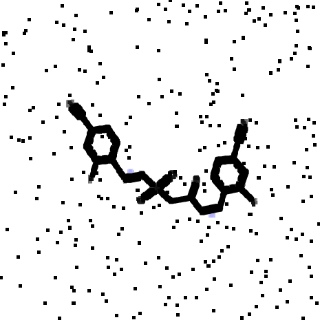 N#Cc1ccc(/C=C\C(=O)CS(=O)(=O)/C=C/c2ccc(C#N)cc2F)c(F)c1